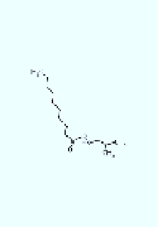 CCCCCC=CCCC(=O)ONCC(C)C